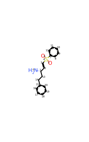 N[C@H](C=CS(=O)(=O)c1ccccc1)CCc1ccccc1